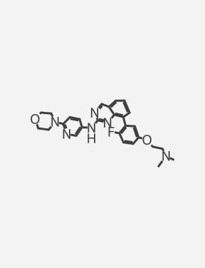 CN(C)CCOc1ccc(F)c(-c2cccc3cnc(Nc4ccc(N5CCOCC5)nc4)nc23)c1